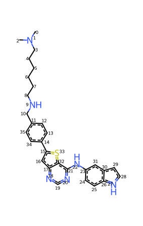 CN(C)CCCCCCNCc1ccc(-c2cc3ncnc(Nc4ccc5[nH]ccc5c4)c3s2)cc1